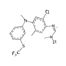 CCN(C)/C=N\c1cc(C)c(N(C)c2cccc(SC(F)(F)F)c2)cc1Cl